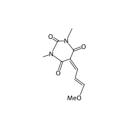 COC=CC=C1C(=O)N(C)C(=O)N(C)C1=O